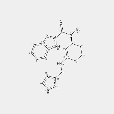 CCN(C(=O)c1cc2ccccc2[nH]1)[C@@H]1C=C(NCc2c[nH]cn2)CCC1